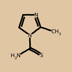 Cc1nccn1C(N)=S